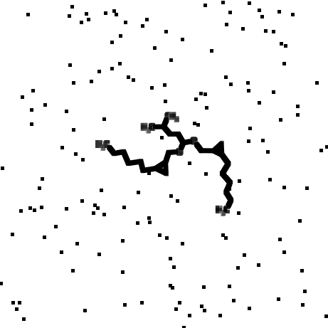 CCCCCCC1CC1COC(CCC(C)C)OCC1CC1CCCCCC